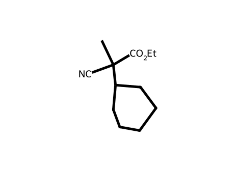 CCOC(=O)C(C)(C#N)C1CCCCC1